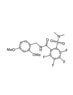 COc1ccc(CNC(=O)c2c(F)c(F)c(F)c(F)c2S(=O)(=O)N(C)C)c(OC)c1